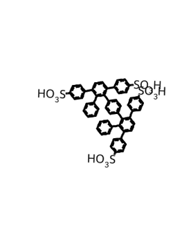 O=S(=O)(O)c1ccc(-c2ccc(-c3ccc(S(=O)(=O)O)cc3)c(-c3ccc(-c4c(-c5ccc(S(=O)(=O)O)cc5)ccc(-c5ccc(S(=O)(=O)O)cc5)c4-c4ccccc4)cc3)c2-c2ccccc2)cc1